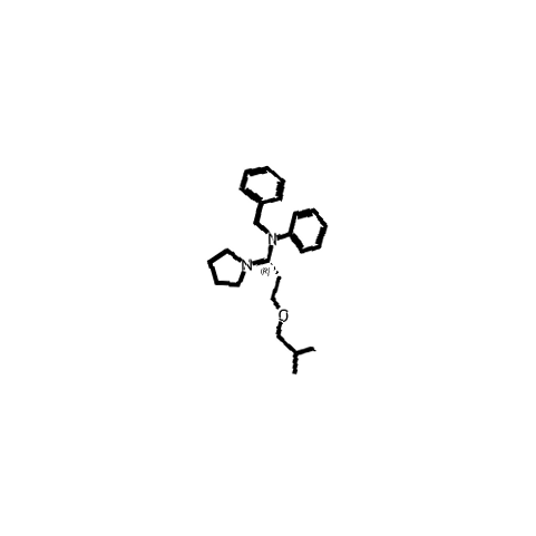 CC(C)COCC[C@H](N1CCCC1)N(Cc1ccccc1)c1ccccc1